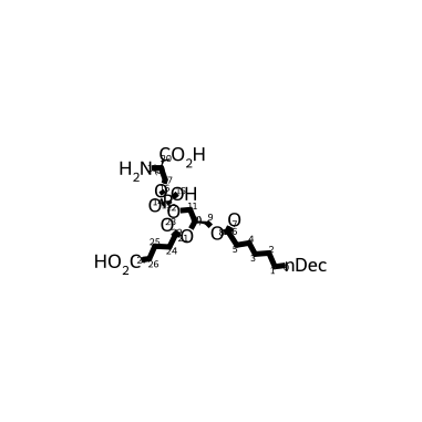 CCCCCCCCCCCCCCCC(=O)OC[C@H](COP(=O)(O)OC[C@H](N)C(=O)O)OC(=O)CCCC(=O)O